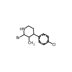 [CH2]C1C(Br)NCCC1c1ccc(Cl)cc1